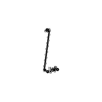 O=C(CCOCCOCCOCCOCCOCCOCCOCCOCCOCCOCCOCCOCCn1cc(-c2cccc(NC(=O)N3CCC4(CC3)NC(=O)N(c3ccccc3Cl)C4=O)c2)nn1)ON1C(=O)CCC1=O